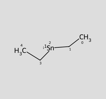 C[CH2][1Sn][CH2]C